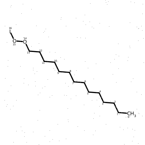 CCCCCCCCCCCCCCOOI